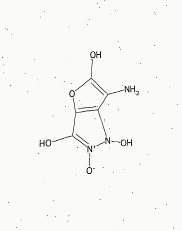 Nc1c(O)oc2c(O)[n+]([O-])n(O)c12